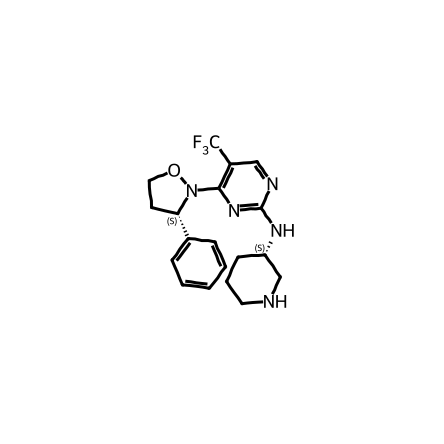 FC(F)(F)c1cnc(N[C@H]2CCCNC2)nc1N1OCC[C@H]1c1ccccc1